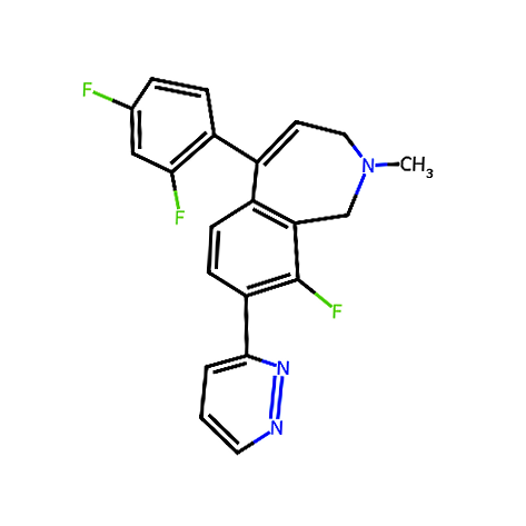 CN1CC=C(c2ccc(F)cc2F)c2ccc(-c3cccnn3)c(F)c2C1